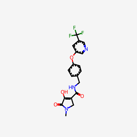 CN1CC(C(=O)NCc2ccc(Oc3cncc(C(F)(F)F)c3)cc2)=C(O)C1=O